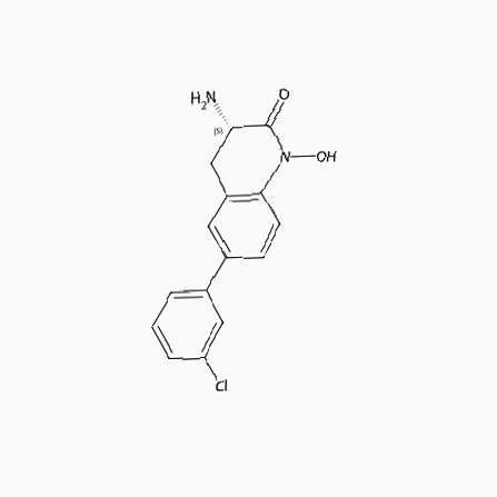 N[C@H]1Cc2cc(-c3cccc(Cl)c3)ccc2N(O)C1=O